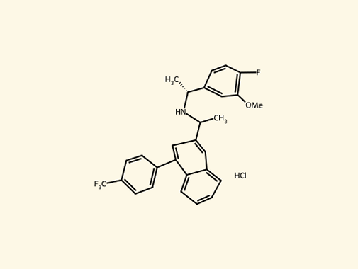 COc1cc([C@@H](C)NC(C)c2cc(-c3ccc(C(F)(F)F)cc3)c3ccccc3c2)ccc1F.Cl